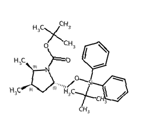 C[C@@H]1C[C@@H](CO[Si](c2ccccc2)(c2ccccc2)C(C)(C)C)N(C(=O)OC(C)(C)C)[C@@H]1C